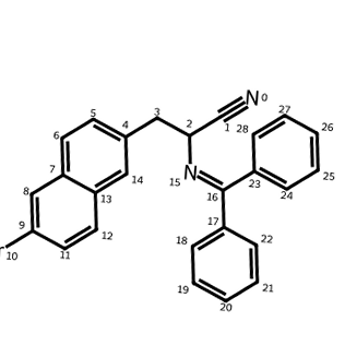 N#CC(Cc1ccc2cc(Br)ccc2c1)N=C(c1ccccc1)c1ccccc1